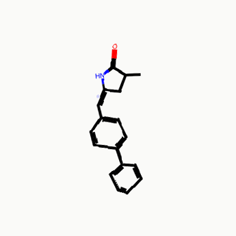 CC1C/C(=C\c2ccc(-c3ccccc3)cc2)NC1=O